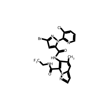 Cc1cc2ccnn2c(C(=O)NCC(F)(F)F)c1NC(=O)c1cc(Br)nn1-c1ncccc1Cl